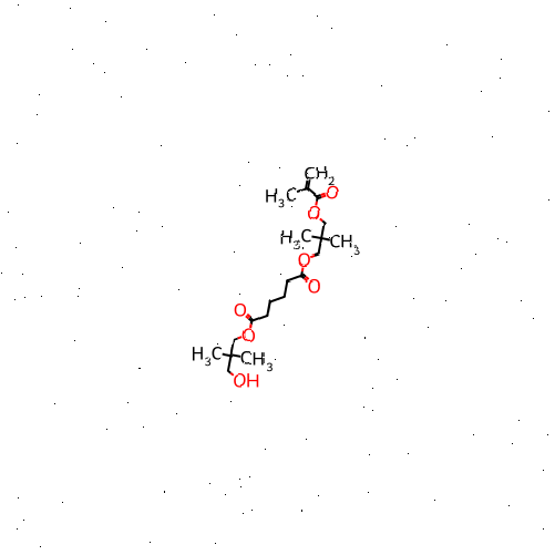 C=C(C)C(=O)OCC(C)(C)COC(=O)CCCCC(=O)OCC(C)(C)CO